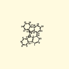 C1=CC2=C3B(c4ccccc42)n2c4ccccc4c4cccc(c42)C3C1